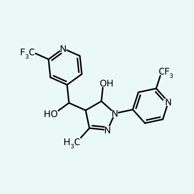 CC1=NN(c2ccnc(C(F)(F)F)c2)C(O)C1C(O)c1ccnc(C(F)(F)F)c1